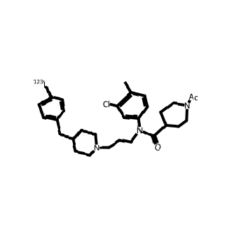 CC(=O)N1CCC(C(=O)N(CCCN2CCC(Cc3ccc([123I])cc3)CC2)c2ccc(C)c(Cl)c2)CC1